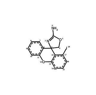 NC1=NC2(CO1)c1ccccc1Oc1nccc(I)c12